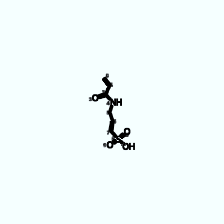 C=CC(=O)NCC=CS(=O)(=O)O